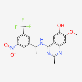 COc1cc2nc(C)nc(NC(C)c3cc([N+](=O)[O-])cc(C(F)(F)F)c3)c2cc1O